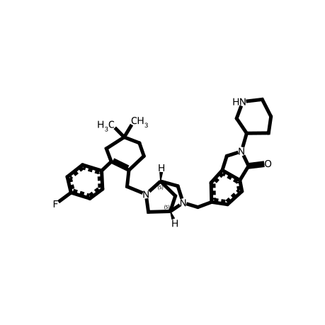 CC1(C)CCC(CN2C[C@@H]3C[C@H]2CN3Cc2ccc3c(c2)CN(C2CCCNC2)C3=O)=C(c2ccc(F)cc2)C1